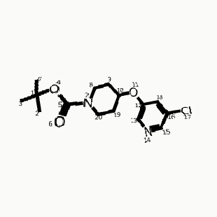 CC(C)(C)OC(=O)N1CCC(Oc2cncc(Cl)c2)CC1